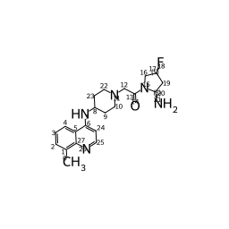 Cc1cccc2c(NC3CCN(CC(=O)N4C[C@@H](F)C[C@H]4N)CC3)ccnc12